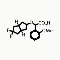 COc1ccccc1C(OC1C[C@@H]2CC(F)(F)C[C@@H]2C1)C(=O)O